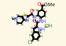 COC(=O)C1CCC(NC(=O)c2cc3cc(Cl)ccc3[nH]2)C(NC(=O)c2nc3c(s2)CN(C)CC3)C1.Cl